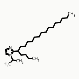 CCCCCCCCCCCCCCCC(CCCC)c1nccn1C(C)C